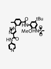 COc1c(NC(=O)c2ccc(C)c(-n3cc(C(=O)Nc4ccncc4)nn3)c2)cc(C(C)(C)C)cc1NS(C)(=O)=O